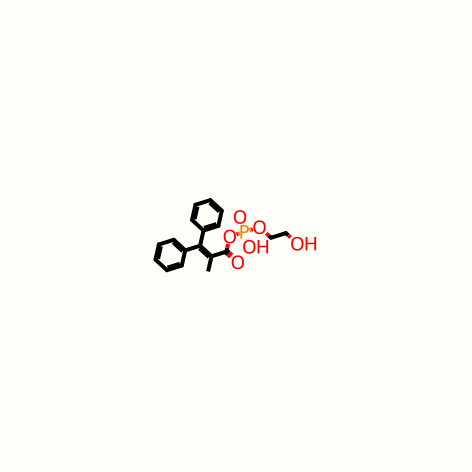 CC(C(=O)OP(=O)(O)OCCO)=C(c1ccccc1)c1ccccc1